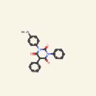 COc1ccc(N2C(=O)C(c3ccccc3)C(=O)N(c3ccccc3)C2=O)cc1